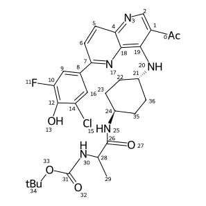 CC(=O)c1cnc2ccc(-c3cc(F)c(O)c(Cl)c3)nc2c1N[C@H]1CC[C@H](NC(=O)C(C)NC(=O)OC(C)(C)C)CC1